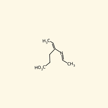 CC=N/C(=C/C)CCC(=O)O